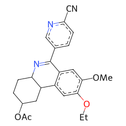 CCOc1cc2c(cc1OC)C(c1ccc(C#N)nc1)=NC1CCC(OC(C)=O)CC21